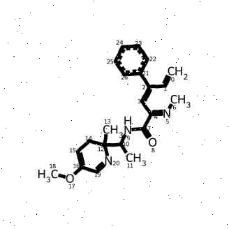 C=C/C(=C\C(=N/C)C(=O)NC(C)C1(C)CC=C(OC)C=N1)c1ccccc1